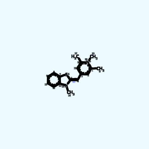 Cc1cc(/C=C2\Sc3ccccc3N2C)cc(C)[n+]1C